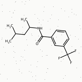 CC(C)CC(C)NC(=O)c1cccc(C(F)(F)F)c1